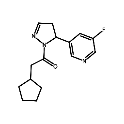 O=C(CC1CCCC1)N1N=CCC1c1cncc(F)c1